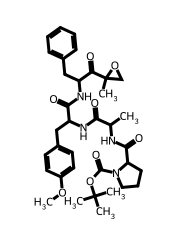 COc1ccc(CC(NC(=O)C(C)NC(=O)C2CCCN2C(=O)OC(C)(C)C)C(=O)NC(Cc2ccccc2)C(=O)C2(C)CO2)cc1